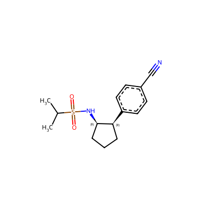 CC(C)S(=O)(=O)N[C@@H]1CCC[C@@H]1c1ccc(C#N)cc1